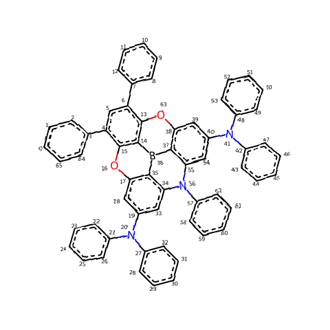 c1ccc(-c2cc(-c3ccccc3)c3c4c2Oc2cc(N(c5ccccc5)c5ccccc5)cc5c2B4c2c(cc(N(c4ccccc4)c4ccccc4)cc2N5c2ccccc2)O3)cc1